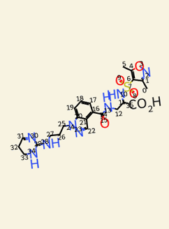 Cc1noc(C)c1S(=O)(=O)NC(CNC(=O)c1cccc2c1cnn2CCCNC1N=CCCN1)C(=O)O